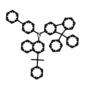 CC(C)(c1ccccc1)c1ccc(N(c2ccc(-c3ccccc3)cc2)c2ccc3c(c2)C(c2ccccc2)(c2ccccc2)c2ccccc2-3)c2ccccc12